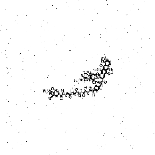 COc1cccc2c1C(=O)c1c(O)c3c(c(O)c1C2=O)CC(C(=O)NCc1ccc(NC(=O)CNC(=O)CNC(=O)CNC(=O)CCNC(=O)c2cnc(S(C)(=O)=O)c(C#N)c2)cc1)C[C@@H]3O[C@H]1C[C@H]2[C@H](O[C@@H]3[C@@H](OC)OCCN32)[C@H](C)O1